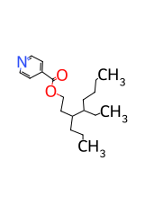 CCCCC(CC)C(CCC)CCOC(=O)c1ccncc1